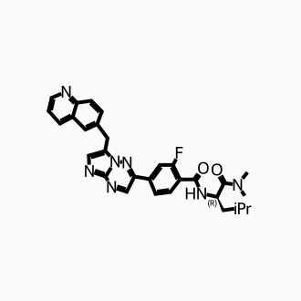 CC(C)C[C@@H](NC(=O)c1ccc(-c2cnc3ncc(Cc4ccc5ncccc5c4)n3n2)cc1F)C(=O)N(C)C